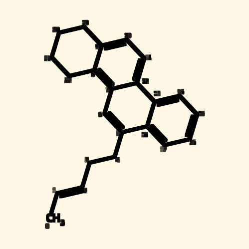 CC=CCCc1cc2c3c(ccc2c2ccccc12)CCCC3